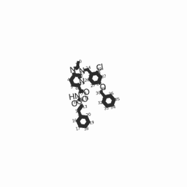 Cc1nc2ccc(C(=O)NS(=O)(=O)/C=C/c3ccccc3)nc2n1Cc1ccc(OCc2ccccc2)cc1Cl